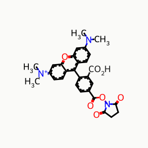 CN(C)c1ccc2c(-c3ccc(C(=O)ON4C(=O)CCC4=O)cc3C(=O)O)c3ccc(=[N+](C)C)cc-3oc2c1